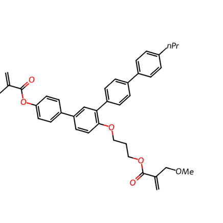 C=C(C)C(=O)Oc1ccc(-c2ccc(OCCCOC(=O)C(=C)COC)c(-c3ccc(-c4ccc(CCC)cc4)cc3)c2)cc1